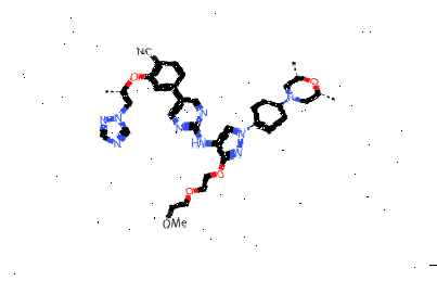 COCCOCCOc1nn([C@H]2CC[C@H](N3C[C@@H](C)O[C@@H](C)C3)CC2)cc1Nc1ncc(-c2ccc(C#N)c(O[C@@H](C)Cn3cncn3)c2)cn1